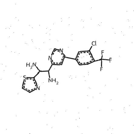 NC(c1cc(-c2ccc(C(F)(F)F)c(Cl)c2)ncn1)C(N)c1nccs1